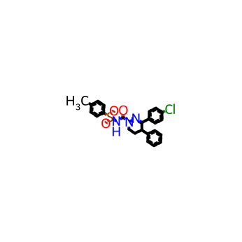 Cc1ccc(S(=O)(=O)NC(=O)N2CCC(c3ccccc3)C(c3ccc(Cl)cc3)=N2)cc1